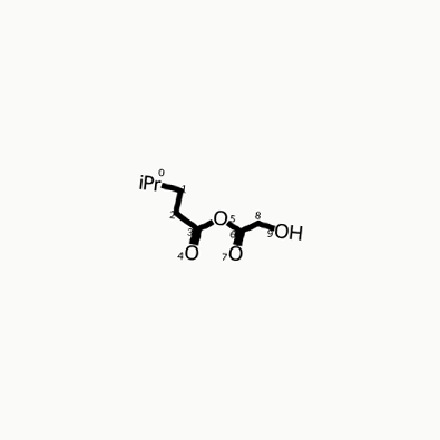 CC(C)CCC(=O)OC(=O)CO